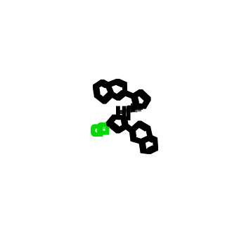 C1=CC(c2ccc3ccccc3c2)=[C]([Hf+2][C]2=C(c3ccc4ccccc4c3)C=CC2)C1.[Cl-].[Cl-]